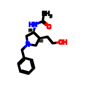 BC(=O)N[C@H]1CN(Cc2ccccc2)C[C@@H]1CCO